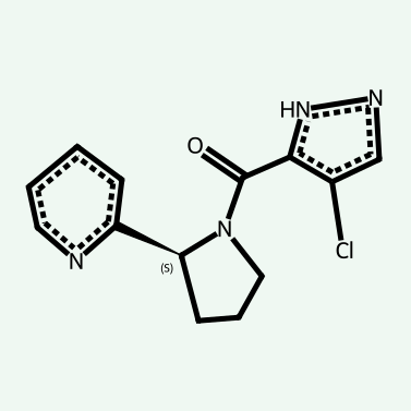 O=C(c1[nH]ncc1Cl)N1CCC[C@H]1c1ccccn1